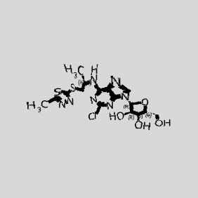 Cc1nnc(SC[C@@H](C)Nc2nc(Cl)nc3c2ncn3[C@@H]2O[C@H](CO)[C@@H](O)[C@H]2O)s1